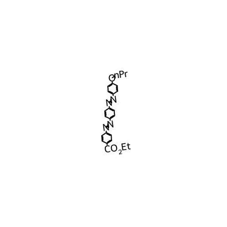 CCCOc1ccc(N=Nc2ccc(N=Nc3ccc(C(=O)OCC)cc3)cc2)cc1